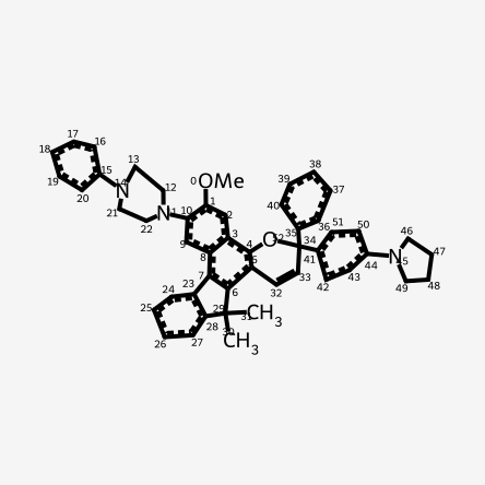 COc1cc2c3c(c4c(c2cc1N1CCN(c2ccccc2)CC1)-c1ccccc1C4(C)C)C=CC(c1ccccc1)(c1ccc(N2CCCC2)cc1)O3